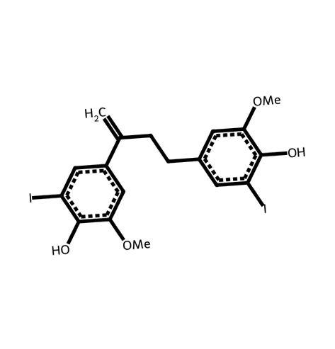 C=C(CCc1cc(I)c(O)c(OC)c1)c1cc(I)c(O)c(OC)c1